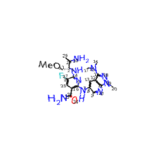 COC[C@@H](Nc1nc(Nc2cnc3c(c2)c(N(C)C)nn3C)c(C(N)=O)cc1F)C(C)N